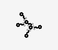 O=C(/C=C/c1ccccc1)Oc1cc(OC(=O)/C=C/c2ccccc2)c2c(=O)cc(-c3ccc(OC(=O)/C=C/c4ccccc4)c(OC(=O)/C=C/c4ccccc4)c3)oc2c1